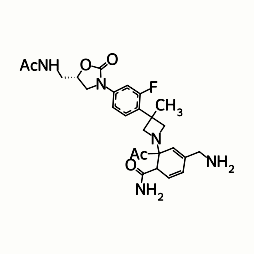 CC(=O)NC[C@H]1CN(c2ccc(C3(C)CN(C4(C(C)=O)C=C(CN)C=CC4C(N)=O)C3)c(F)c2)C(=O)O1